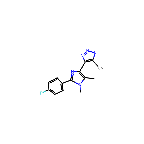 Cc1c(-c2nn[nH]c2C#N)nc(-c2ccc(F)cc2)n1C